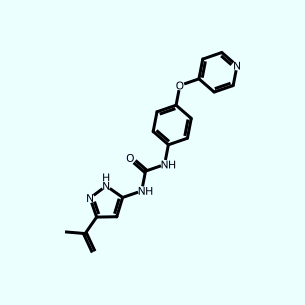 C=C(C)c1cc(NC(=O)Nc2ccc(Oc3ccncc3)cc2)[nH]n1